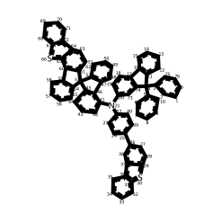 c1ccc(C2(c3ccccc3)c3ccccc3-c3ccc(N(c4ccc(-c5ccc6sc7ccccc7c6c5)cc4)c4cccc5c4-c4ccccc4C54c5ccccc5-c5c4ccc4c5sc5ccccc54)cc32)cc1